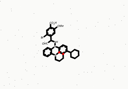 COc1cc(C(C=O)NN(c2ccc(C3CCCCC3)cc2)c2ccccc2N2CCCCC2)c(Br)cc1C(=O)O